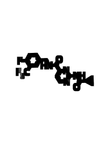 O=C(NCc1ccc(F)c(C(F)(F)F)c1)c1ccnc(NC(=O)C2CC2)n1